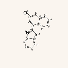 Clc1cc(-c2nc3ccccc3s2)c2ccccc2c1